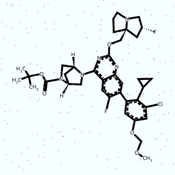 COCOc1cc(Cl)c(C2CC2)c(-c2cc3nc(OC[C@@]45CCCN4C[C@H](F)C5)nc(N4C[C@H]5C[C@@H]4CN5C(=O)OC(C)(C)C)c3cc2F)c1